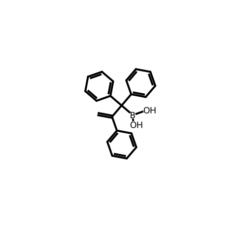 C=C(c1ccccc1)C(B(O)O)(c1ccccc1)c1ccccc1